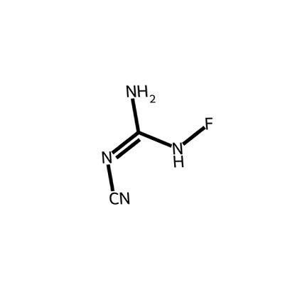 N#CN=C(N)NF